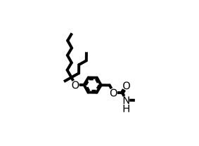 CCCCCCC(C)(CCCC)Oc1ccc(COC(=O)NC)cc1